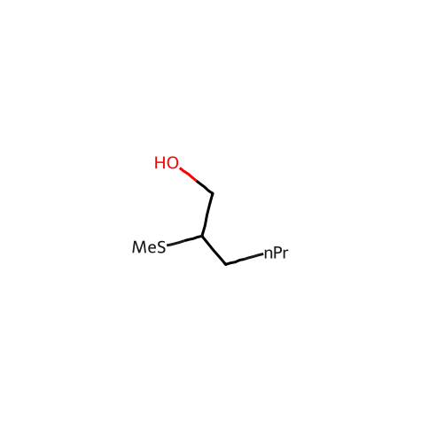 CCCCC(CO)SC